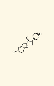 O=C(NN1CCNCC1)c1cc2cc(Cl)ccc2o1